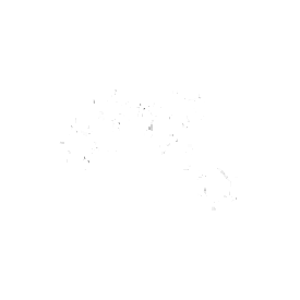 Cc1nccnc1-c1csc(NC(=O)[C@@H]2CCCN2C(=O)OCc2ccccc2)n1